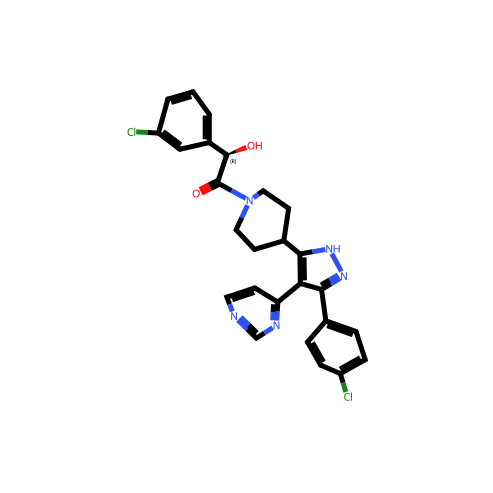 O=C([C@H](O)c1cccc(Cl)c1)N1CCC(c2[nH]nc(-c3ccc(Cl)cc3)c2-c2ccncn2)CC1